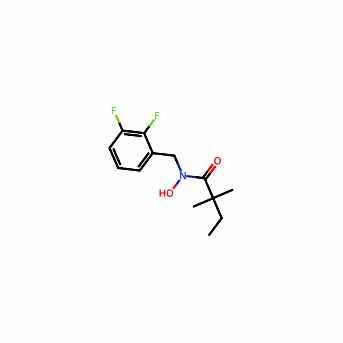 CCC(C)(C)C(=O)N(O)Cc1cccc(F)c1F